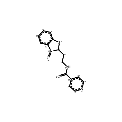 O=C(NCCC1Sc2ccccc2[N+]1=O)c1ccncc1